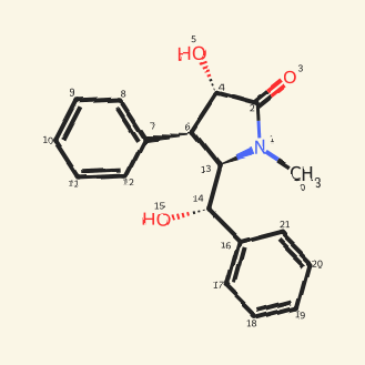 CN1C(=O)[C@@H](O)[C@H](c2ccccc2)[C@@H]1[C@@H](O)c1ccccc1